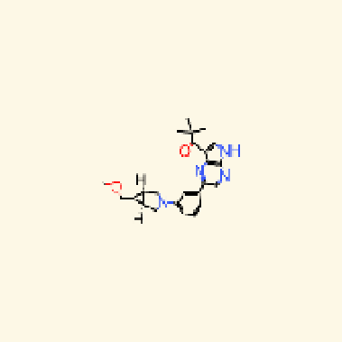 COCC1[C@H]2CN(c3cccc(-c4cnc5[nH]cc(C(=O)C(C)(C)C)c5n4)c3)C[C@@H]12